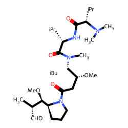 CC[C@H](C)[C@@H]([C@@H](CC(=O)N1CCC[C@H]1[C@H](OC)[C@@H](C)C=O)OC)N(C)C(=O)[C@@H](NC(=O)[C@H](C(C)C)N(C)C)C(C)C